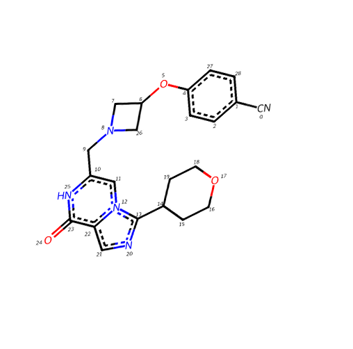 N#Cc1ccc(OC2CN(Cc3cn4c(C5CCOCC5)ncc4c(=O)[nH]3)C2)cc1